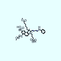 COOOSc1cc(S(=O)(=O)O)cc2c3c(ccc12)[N+](CCCS(=O)(=O)O)=C(/C=C/C=C/Nc1ccccc1)C3(C)CCCCCC(=O)OC